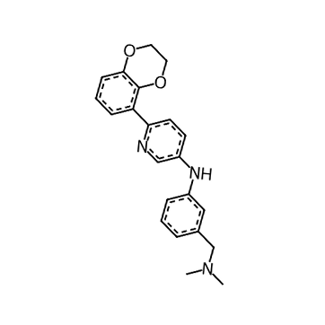 CN(C)Cc1cccc(Nc2ccc(-c3cccc4c3OCCO4)nc2)c1